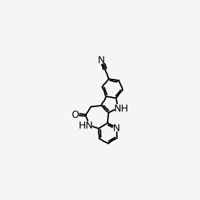 N#Cc1ccc2[nH]c3c(c2c1)CC(=O)Nc1cccnc1-3